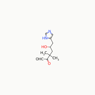 CC(C)(CC(O)Cc1cnc[nH]1)C(=O)C=O